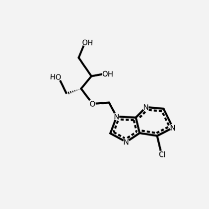 OCC(O)[C@@H](CO)OCn1cnc2c(Cl)ncnc21